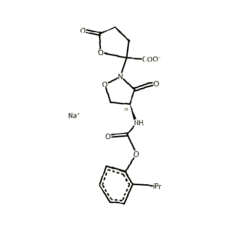 CC(C)c1ccccc1OC(=O)N[C@H]1CON(C2(C(=O)[O-])CCC(=O)O2)C1=O.[Na+]